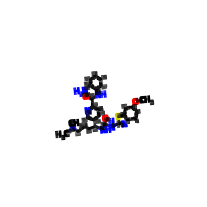 COc1ccc2nc(NC(=O)NC(CCCN(C)C)c3ccc(C(=O)Nc4ccccc4N)nc3)sc2c1